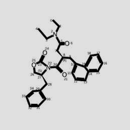 CCN(CC)C(=O)C[C@@H](Cc1cccc2ccccc12)C(=O)N1C(=O)OC[C@@H]1Cc1ccccc1